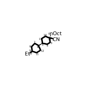 CCCCCCCC[C@]1(C#N)CC[C@@H](C2CCC(CC)CC2)CC1